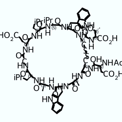 CC(=O)N[C@@H](CC(=O)O)C(O)N[C@H]1CSSC[C@@H](C(=O)N[C@H](C(=O)O)[C@@H](C)O)NC(=O)[C@H](Cc2c[nH]c3ccccc23)NC(=O)[C@H](C(C)C)NC(=O)[C@H](CC(C)C)NC(=O)[C@H](CCC(=O)O)NC(=O)CNC(=O)[C@H](CC(C)C)NC(=O)[C@H](C)NC(=O)[C@H](Cc2c[nH]c3ccccc23)NC(=O)[C@H](C)NC1=O